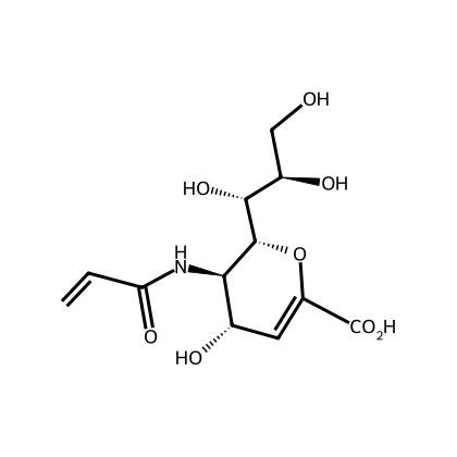 C=CC(=O)N[C@H]1[C@H]([C@H](O)[C@H](O)CO)OC(C(=O)O)=C[C@@H]1O